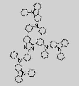 c1ccc(N(c2cccc(-c3ccc4nc(-c5cccc(N(c6ccccc6)c6ccc7c8ccccc8n(-c8ccccc8)c7c6)c5)nc(-c5cccc(N(c6ccccc6)c6ccc7c8ccccc8n(-c8ccccc8)c7c6)c5)c4c3)c2)c2ccc3c4ccccc4n(-c4ccccc4)c3c2)cc1